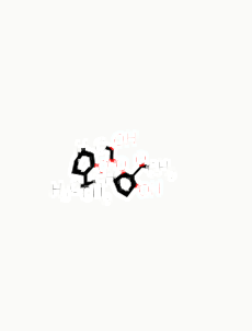 CC(=O)c1c(O)cccc1OC(Oc1ccccc1C(C)(C)C)C(C)O